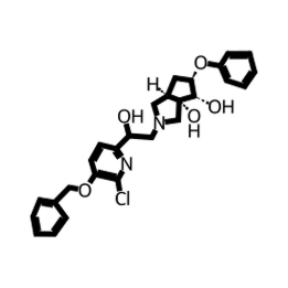 OC(CN1C[C@H]2C[C@H](Oc3ccccc3)[C@H](O)[C@@]2(O)C1)c1ccc(OCc2ccccc2)c(Cl)n1